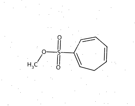 COS(=O)(=O)C1=CCC=CC=C1